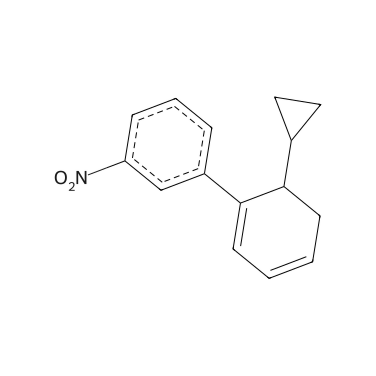 O=[N+]([O-])c1cccc(C2=CC=CCC2C2CC2)c1